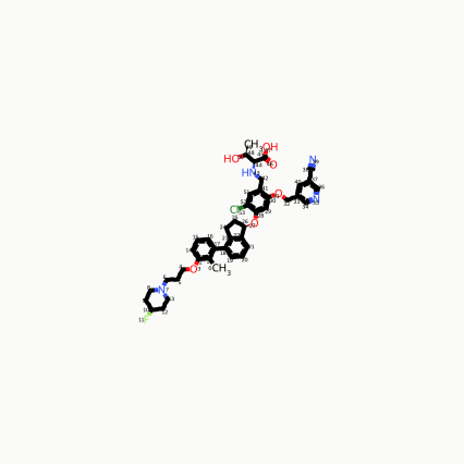 Cc1c(OCCCN2CCC(F)CC2)cccc1-c1cccc2c1CC[C@@H]2Oc1cc(OCc2cncc(C#N)c2)c(CN[C@H](C(=O)O)[C@@H](C)O)cc1Cl